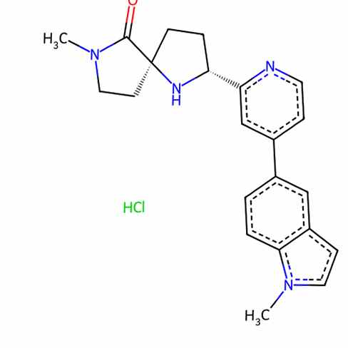 CN1CC[C@@]2(CC[C@H](c3cc(-c4ccc5c(ccn5C)c4)ccn3)N2)C1=O.Cl